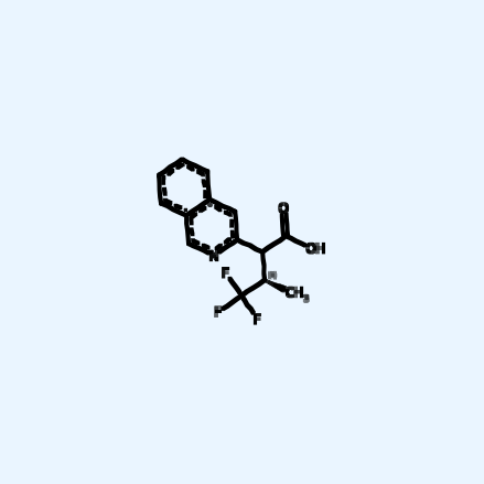 C[C@H](C(C(=O)O)c1cc2ccccc2cn1)C(F)(F)F